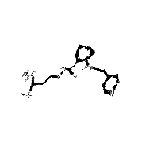 CC(C)CCONC(=O)c1ccccc1NCc1ccncc1